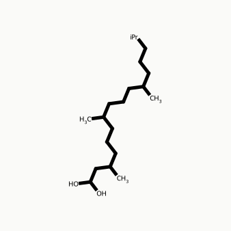 CC(C)CCCC(C)CCCC(C)CCCC(C)CC(O)O